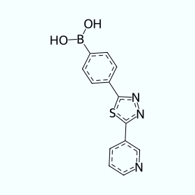 OB(O)c1ccc(-c2nnc(-c3cccnc3)s2)cc1